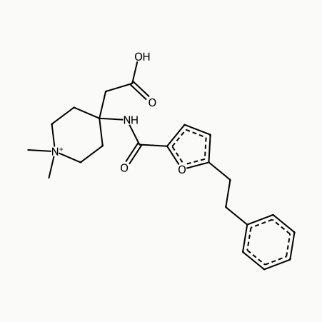 C[N+]1(C)CCC(CC(=O)O)(NC(=O)c2ccc(CCc3ccccc3)o2)CC1